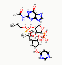 CC(C)C(=O)Nc1nc2c(ncn2[C@@H]2O[C@H](CO)[C@@H](O[Si](C)(C)C(C)(C)C)[C@H]2OP(=S)(OCCC#N)OC[C@H]2C[C@@H](Oc3ccncn3)C[C@@H]2O[PH](=O)O)c(=O)[nH]1